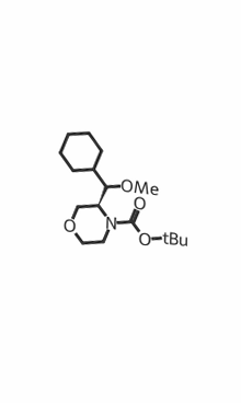 COC(C1CCCCC1)[C@@H]1COCCN1C(=O)OC(C)(C)C